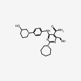 N=Cc1nc(N2CCCCCC2)nc(Nc2ccc(N3CCCC(O)C3)cc2)c1C(N)=O